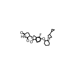 O=C1CCC(N2Cc3c(ccc(O[C@H]4CCCC[C@H]4N4CC(C5CC5)C4)c3F)C2=O)C(=O)N1